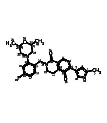 Cc1cn(-c2ccc3n(c2=O)CCN(Cc2ccc(F)cc2N2C[C@@H](C)O[C@@H](C)C2)C3=O)cn1